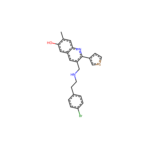 Cc1cc2nc(-c3ccsc3)c(CNCCc3ccc(Br)cc3)cc2cc1O